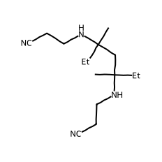 CCC(C)(CC(C)(CC)NCCC#N)NCCC#N